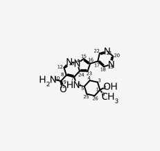 C[C@]1(O)CC[C@H](Nc2c(C(N)=O)cnn3cc(-c4cncnc4)cc23)CC1